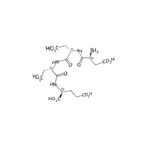 N[C@@H](CC(=O)O)C(=O)N[C@@H](CC(=O)O)C(=O)N[C@@H](CC(=O)O)C(=O)N[C@@H](CCC(=O)O)C(=O)O